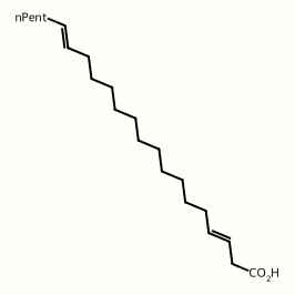 CCCCCC=CCCCCCCCCCCCC=CCC(=O)O